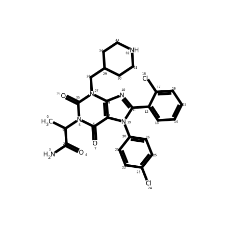 CC(C(N)=O)n1c(=O)c2c(nc(-c3ccccc3Cl)n2-c2ccc(Cl)cc2)n(CC2CCNCC2)c1=O